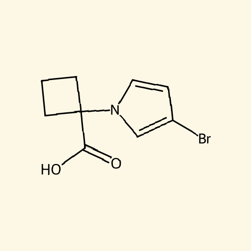 O=C(O)C1(n2ccc(Br)c2)CCC1